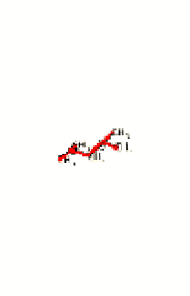 CCCCCCCCC(CCC)OC(=O)CCCCCCCN(C)CCCCCCCC(=O)OC(CCCCCCCC)CCCCCCCC